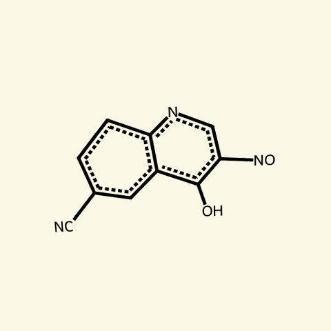 N#Cc1ccc2ncc(N=O)c(O)c2c1